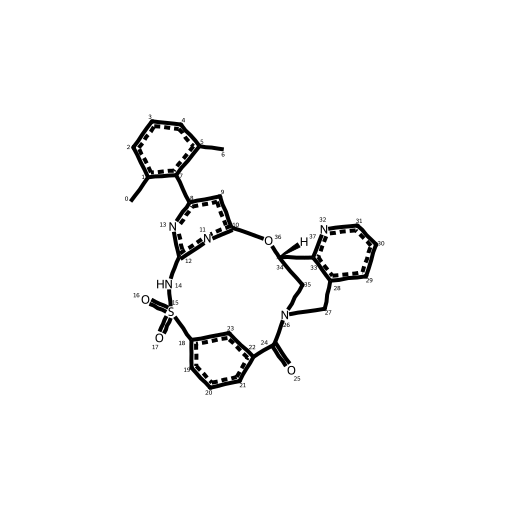 Cc1cccc(C)c1-c1cc2nc(n1)NS(=O)(=O)c1cccc(c1)C(=O)N1Cc3cccnc3[C@H](C1)O2